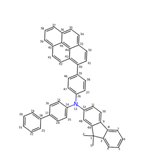 CC1(C)c2ccccc2-c2ccc(N(c3ccc(-c4ccccc4)cc3)c3ccc(-c4ccc5ccc6cccc7ccc4c5c67)cc3)cc21